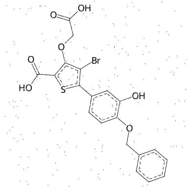 O=C(O)COc1c(C(=O)O)sc(-c2ccc(OCc3ccccc3)c(O)c2)c1Br